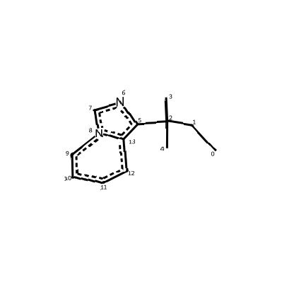 CCC(C)(C)c1ncn2ccccc12